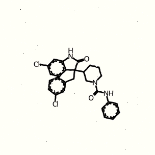 O=C(Nc1ccccc1)N1CCCC(C2(Cc3cccc(Cl)c3)C(=O)Nc3cc(Cl)ccc32)C1